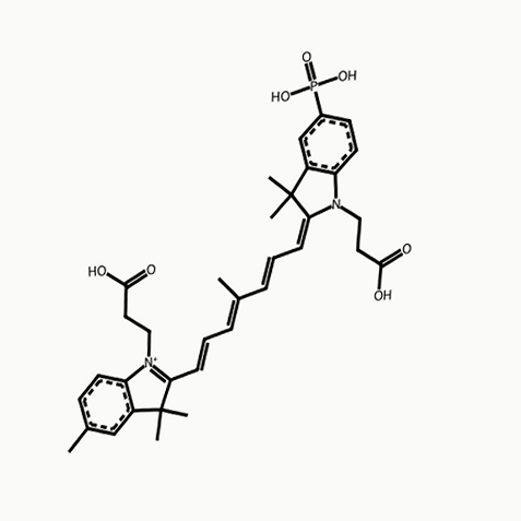 CC(/C=C/C=C1/N(CCC(=O)O)c2ccc(P(=O)(O)O)cc2C1(C)C)=C\C=C\C1=[N+](CCC(=O)O)c2ccc(C)cc2C1(C)C